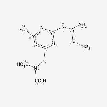 NC(=N[N+](=O)[O-])Nc1cc(CN(C(=O)O)C(=O)O)cc(C(F)(F)F)c1